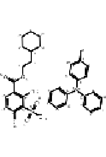 Cc1ccc([S+](c2ccccc2)c2ccccc2)cc1.O=C(OCCC1CCCCC1)c1ccc(Cl)c(S(=O)(=O)[O-])c1Cl